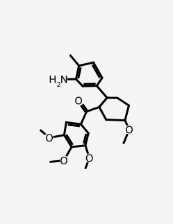 COc1cc(C(=O)C2CC(OC)CCC2c2ccc(C)c(N)c2)cc(OC)c1OC